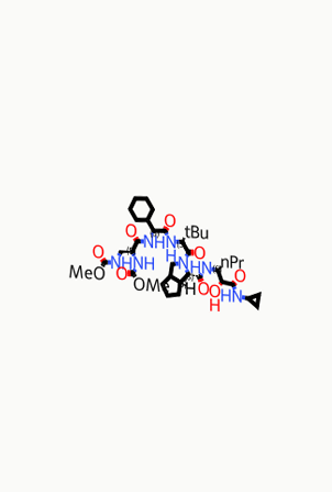 CCC[C@H](NC(=O)[C@@H]1[C@H]2CCCC2CN1C(=O)[C@@H](NC(=O)[C@@H](NC(=O)[C@H](CNC(=O)OC)NC(=O)OC)C1CCCCC1)C(C)(C)C)C(O)C(=O)NC1CC1